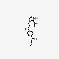 CCOC(=O)c1ccc(CCC[n+]2cc[nH]c2C(C)=O)cc1.[I-]